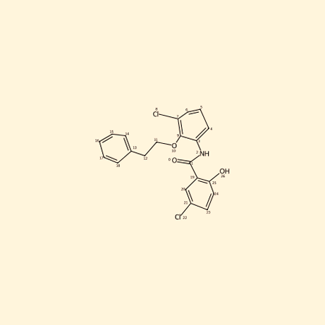 O=C(Nc1cccc(Cl)c1OCCc1ccccc1)c1cc(Cl)ccc1O